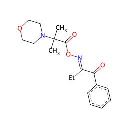 CC/C(=N\OC(=O)C(C)(C)N1CCOCC1)C(=O)c1ccccc1